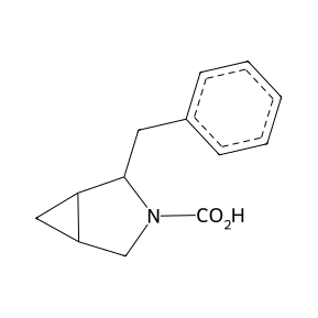 O=C(O)N1CC2CC2C1Cc1ccccc1